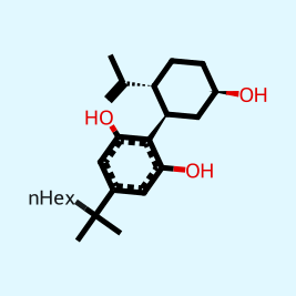 C=C(C)[C@@H]1CC[C@@H](O)C[C@H]1c1c(O)cc(C(C)(C)CCCCCC)cc1O